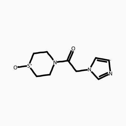 O=C(Cn1c[c]nc1)N1CC[S+]([O-])CC1